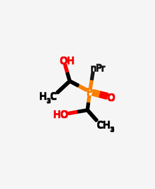 CCCP(=O)(C(C)O)C(C)O